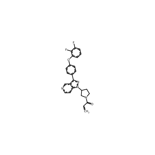 C=CC(=O)N1CCC(n2nc(-c3ccc(Oc4cccc(F)c4F)cc3)c3cnccc32)C1